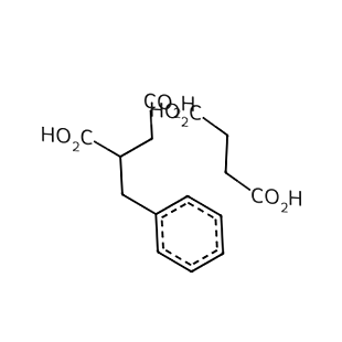 O=C(O)CC(Cc1ccccc1)C(=O)O.O=C(O)CCC(=O)O